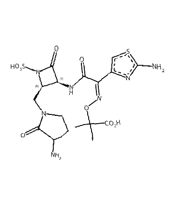 CC(C)(ON=C(C(=O)N[C@@H]1C(=O)N(S(=O)(=O)O)[C@@H]1CN1CCC(N)C1=O)c1csc(N)n1)C(=O)O